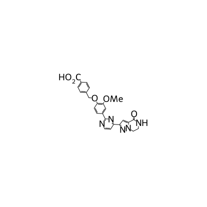 COc1cc(-c2nccc(-c3cc4n(n3)CCNC4=O)n2)ccc1OCc1ccc(C(=O)O)cc1